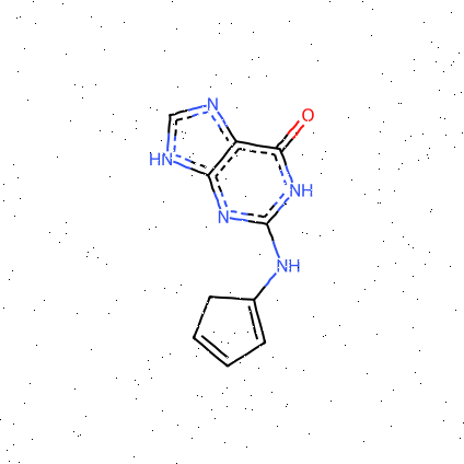 O=c1[nH]c(NC2=CC=CC2)nc2[nH]cnc12